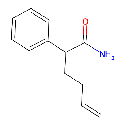 C=CCCC(C(N)=O)c1ccccc1